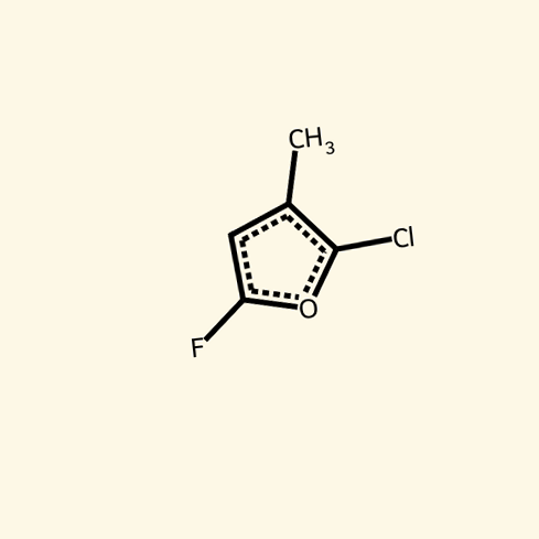 Cc1cc(F)oc1Cl